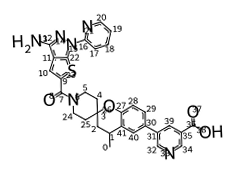 CC1CC2(CCN(C(=O)c3cc4c(N)nn(-c5ccccn5)c4s3)CC2)Oc2ccc(-c3cncc(C(=O)O)c3)cc21